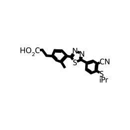 Cc1cc(CCC(=O)O)ccc1-c1nnc(-c2ccc(SC(C)C)c(C#N)c2)s1